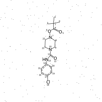 CC(C)(C)C(=O)ON1CCN(C(=O)Nc2ccc(Cl)cc2)CC1